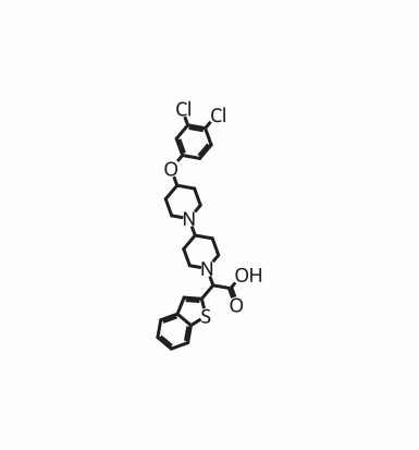 O=C(O)C(c1cc2ccccc2s1)N1CCC(N2CCC(Oc3ccc(Cl)c(Cl)c3)CC2)CC1